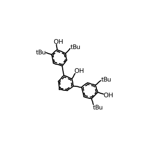 CC(C)(C)c1cc(-c2cccc(-c3cc(C(C)(C)C)c(O)c(C(C)(C)C)c3)c2O)cc(C(C)(C)C)c1O